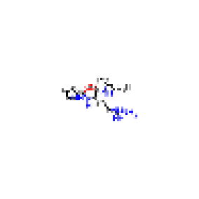 CC(C)[C@H](NC(=O)[C@@H](CCCNC(=N)N)NC(=O)[C@H]1CCCN1)C(=O)O